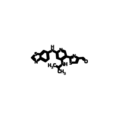 CC(C)Nc1cc(Nc2ccc3ncsc3c2)ncc1-c1nc(C=O)cs1